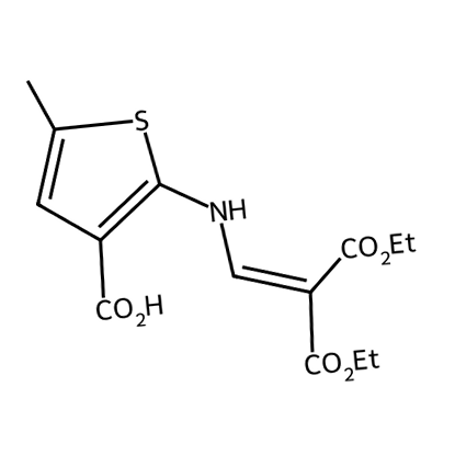 CCOC(=O)C(=CNc1sc(C)cc1C(=O)O)C(=O)OCC